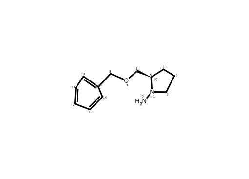 NN1CCC[C@@H]1COCc1ccccc1